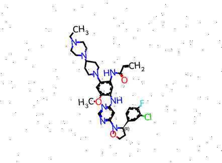 C=CC(=O)Nc1cc(Nc2cc(N3OCC[C@@H]3c3ccc(F)c(Cl)c3)ncn2)c(OC)cc1N1CCC(N2CCN(CC)CC2)CC1